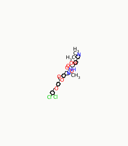 CC(=O)N1Cc2cc3c(cc2C[C@H]1C(=O)NC(Cc1ccc(-c2ccnc(C)c2C)cc1)C(=O)O)OC[C@H](c1ccc(OCc2ccc(Cl)c(Cl)c2)cc1)O3